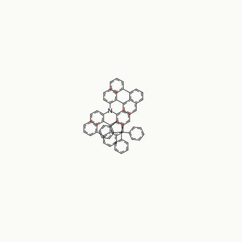 c1ccc(-c2cccc3cccc(-c4ccccc4N(c4ccccc4-c4cccc5cccc(-c6ccccc6)c45)c4cccc5c4-c4ccccc4C5(c4ccccc4)c4ccccc4)c23)cc1